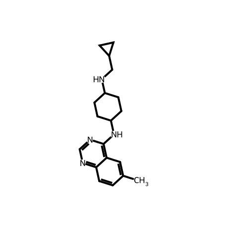 Cc1ccc2ncnc(NC3CCC(NCC4CC4)CC3)c2c1